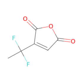 CC(F)(F)C1=CC(=O)OC1=O